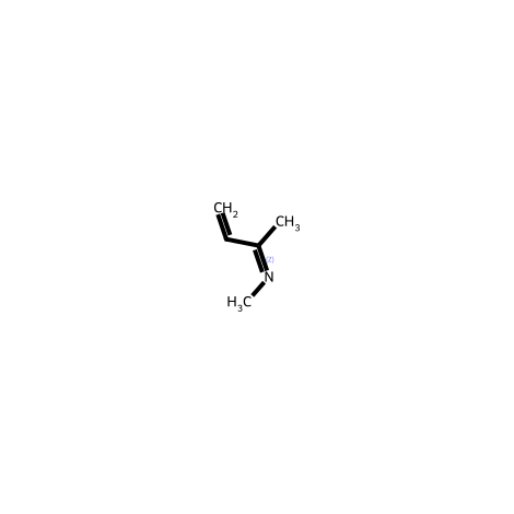 C=C/C(C)=N\C